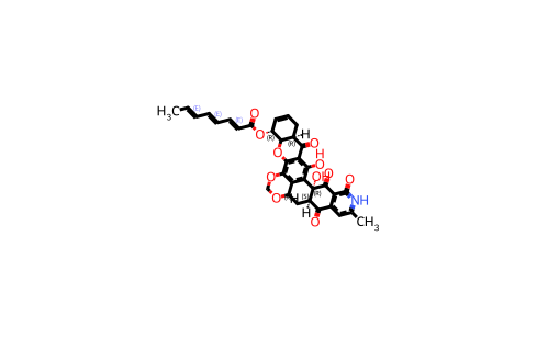 C/C=C/C=C/C=C/C(=O)O[C@@H]1C=CC[C@H]2C(=O)c3c(O)c4c5c(c3OC12)OCO[C@@H]5C[C@@H]1C(=O)c2cc(C)[nH]c(=O)c2C(=O)[C@]41O